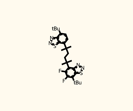 CC(C)(C)c1ccc(C(C)(C)CCC(C)(C)c2c(F)c(F)c(C(C)(C)C)c3snnc23)c2snnc12